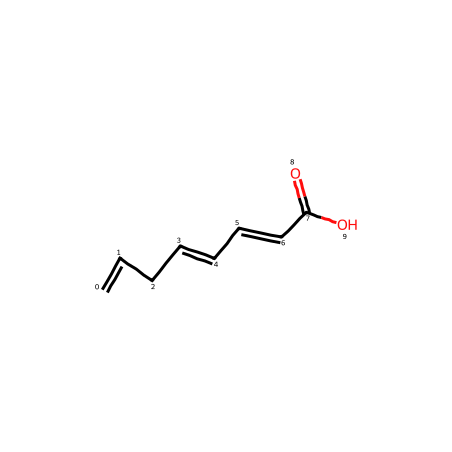 C=CCC=CC=CC(=O)O